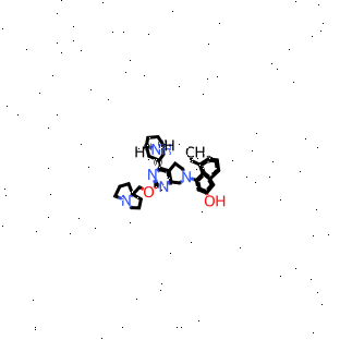 CCc1cccc2cc(O)cc(N3CCc4c(nc(OCC56CCCN5CCC6)nc4[C@H]4C[C@H]5CC[C@@H](C4)N5)C3)c12